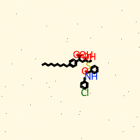 CCCCCCCCCc1ccc(C(CC(O)C(C)Sc2ccccc2C(=O)NCc2ccc(Cl)cc2)C(=O)O)cc1